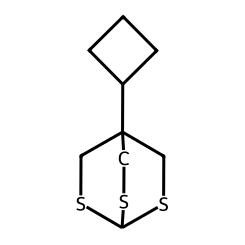 C1CC(C23CSC(SC2)SC3)C1